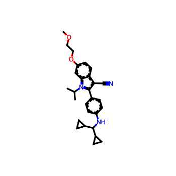 COCCOc1ccc2c(C#N)c(-c3ccc(NC(C4CC4)C4CC4)cc3)n(C(C)C)c2c1